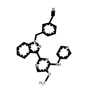 COc1cnc(-c2nn(Cc3cccc(C#N)c3)c3ccccc23)nc1Nc1ccncc1